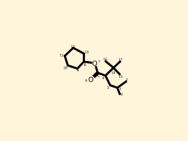 CC(C)CC(C(=O)OC1CCCCC1)C(C)(C)C